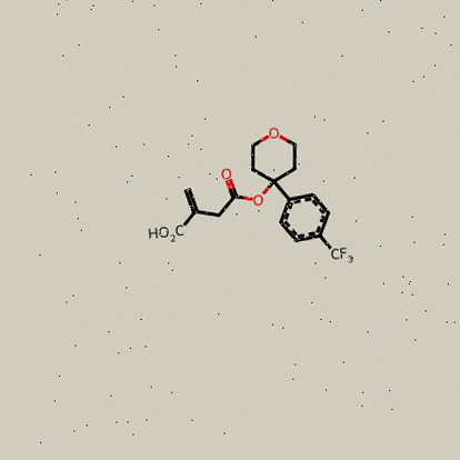 C=C(CC(=O)OC1(c2ccc(C(F)(F)F)cc2)CCOCC1)C(=O)O